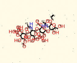 C=CCOC1OC(CO)[C@H](O)[C@H](OC2OC(OC=O)[C@@H](OC3OC(CO)[C@H](O)[C@H](OC4OC(OC=O)C(O)[C@H](OOO)[C@@H]4OOO)[C@@H]3NC(C)=O)[C@H](OOO)[C@@H]2OOO)[C@@H]1NC(C)=O